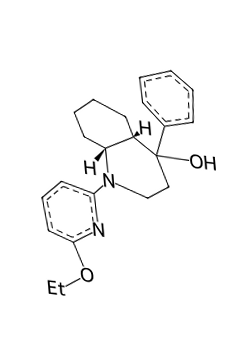 CCOc1cccc(N2CCC(O)(c3ccccc3)[C@H]3CCCC[C@H]32)n1